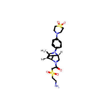 CC1C2C3[C@@H]1CN(c1ccc(N4CCS(=O)(=O)CC4)cc1)[C@@H]2CN3C(=O)CS(=O)(=O)CCN